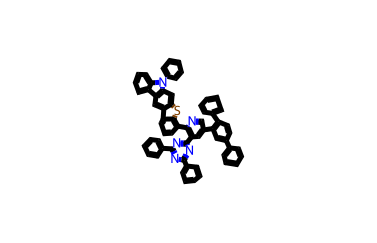 c1ccc(-c2ccc(-c3ccccc3)c(-c3cnc(-c4cccc5c4sc4cc6c(cc45)c4ccccc4n6-c4ccccc4)c(-c4nc(-c5ccccc5)nc(-c5ccccc5)n4)c3)c2)cc1